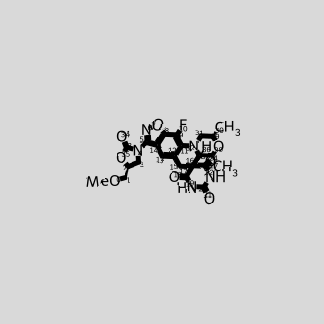 COC[C@@H]1CN(c2noc3c(F)c4c(cc23)CC2(C(=O)NC(=O)NC2=O)[C@@H]2[C@@H](C)O[C@H](C)CN42)C(=O)O1